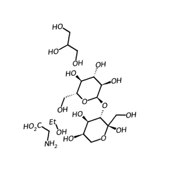 CCO.NCC(=O)O.OCC(O)CO.OC[C@H]1O[C@H](O[C@H]2[C@H](O)[C@H](O)CO[C@@]2(O)CO)[C@H](O)[C@@H](O)[C@@H]1O